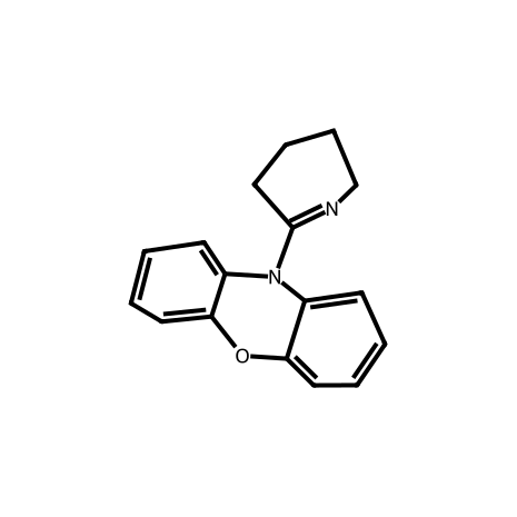 c1ccc2c(c1)Oc1ccccc1N2C1=NCCCC1